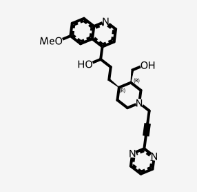 COc1ccc2nccc(C(O)CC[C@@H]3CCN(CC#Cc4ncccn4)C[C@@H]3CO)c2c1